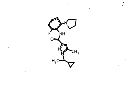 Cc1cc(C(=O)Nc2c(F)cccc2N2CCCC2)nn1C(C)C1CC1